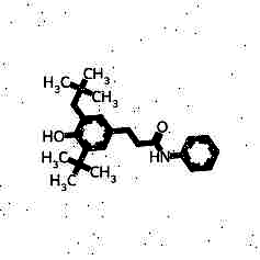 CC(C)(C)Cc1cc(CCC(=O)Nc2ccccc2)cc(C(C)(C)C)c1O